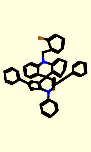 Brc1ccccc1CN1c2ccccc2C2(c3ccccc31)c1cc(-c3ccccc3)ccc1N(c1ccccc1)c1ccc(-c3ccccc3)cc12